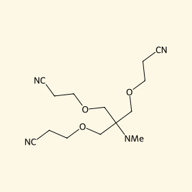 CNC(COCCC#N)(COCCC#N)COCCC#N